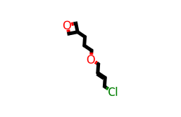 ClCC=CCOCCCC1COC1